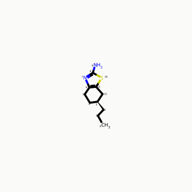 CCC[C@H]1CCc2nc(N)sc2C1